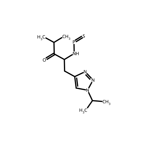 CC(C)C(=O)C(Cc1cn(C(C)C)nn1)NP=S